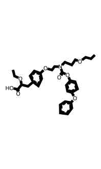 CCCOCCCN(CCOc1ccc(CC(OCC)C(=O)O)cc1)C(=O)Oc1ccc(Oc2ccccc2)cc1